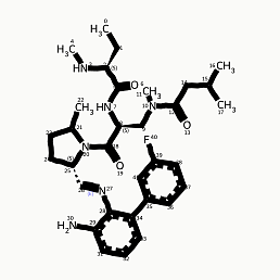 CC[C@H](NC)C(=O)N[C@@H](CN(C)C(=O)CC(C)C)C(=O)N1C(C)CC[C@H]1/C=N/c1c(N)cccc1-c1cccc(F)c1